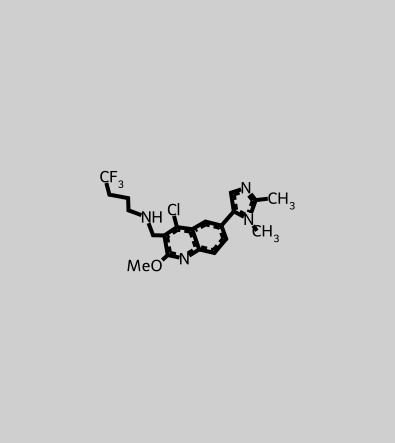 COc1nc2ccc(-c3cnc(C)n3C)cc2c(Cl)c1CNCCCC(F)(F)F